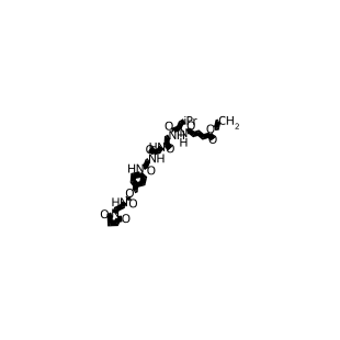 C=CCOC(=O)CCCC(=O)NC(CC(C)C)C(=O)NCC(=O)NCC(=O)NCC(=O)Nc1ccc(COC(=O)NCCN2C(=O)C=CC2=O)cc1